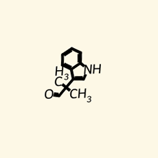 CC(C)(C=O)c1c[nH]c2ccccc12